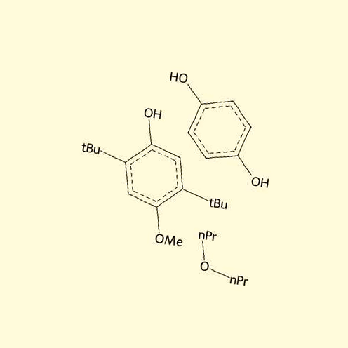 CCCOCCC.COc1cc(C(C)(C)C)c(O)cc1C(C)(C)C.Oc1ccc(O)cc1